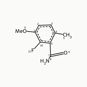 COc1ccc(C)c(C(N)=O)c1F